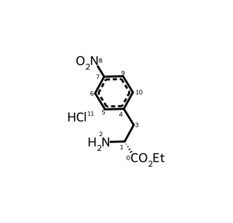 CCOC(=O)[C@H](N)Cc1ccc([N+](=O)[O-])cc1.Cl